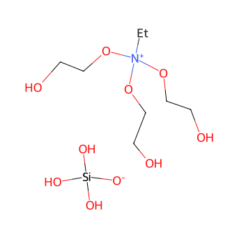 CC[N+](OCCO)(OCCO)OCCO.[O-][Si](O)(O)O